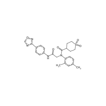 Cc1ccc(N(CC(=O)Nc2ccc(-c3ncon3)cc2)C(=O)C2CCS(=O)(=O)CC2)c(C)c1